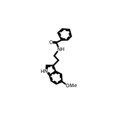 COc1ccc2[nH]cc(CCNC(=O)c3[c]cccc3)c2c1